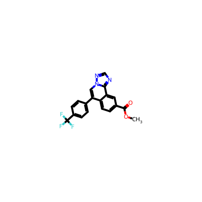 COC(=O)c1ccc2c(-c3ccc(C(F)(F)F)cc3)cn3ncnc3c2c1